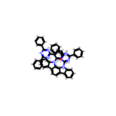 c1ccc(-c2nc(-c3ccccc3)nc(-c3ccccc3-n3c4ccccc4c4ccc5c6ccccc6n(-c6nc(-c7ccccc7)nc(-c7ccccc7)n6)c5c43)n2)cc1